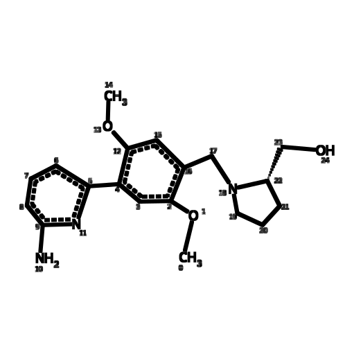 COc1cc(-c2cccc(N)n2)c(OC)cc1CN1CCC[C@H]1CO